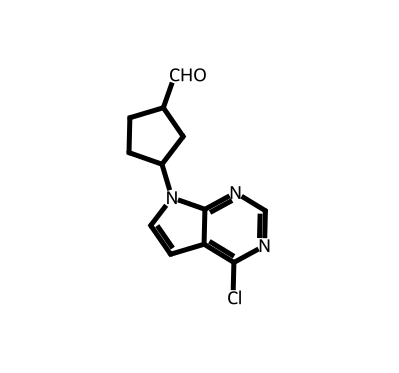 O=CC1CCC(n2ccc3c(Cl)ncnc32)C1